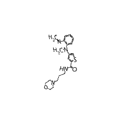 C=Nc1ccccc1N(C)c1csc(C(=O)NCCCN2CCOCC2)c1